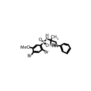 CCCCC(C)(CNc1ccccc1)NS(=O)(=O)c1cc(OC)c(Br)cc1Br